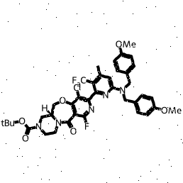 COc1ccc(CN(Cc2ccc(OC)cc2)c2cc(C)c(C(F)(F)F)c(-c3nc(F)c4c(c3Cl)OC[C@H]3CN(C(=O)OC(C)(C)C)CCN3C4=O)n2)cc1